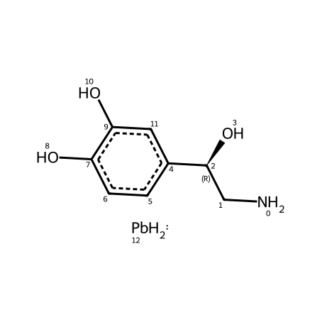 NC[C@H](O)c1ccc(O)c(O)c1.[PbH2]